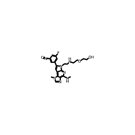 [C-]#[N+]c1cc(F)cc(-c2cc3c4c(ncn4C)c(NC)nc3n2CCNCCOCCO)c1